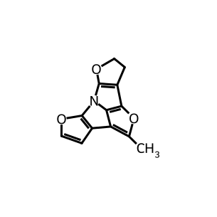 Cc1oc2c3c(n4c5occc5c1c24)OCC3